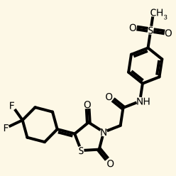 CS(=O)(=O)c1ccc(NC(=O)CN2C(=O)SC(=C3CCC(F)(F)CC3)C2=O)cc1